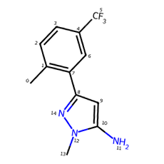 Cc1ccc(C(F)(F)F)cc1-c1cc(N)n(C)n1